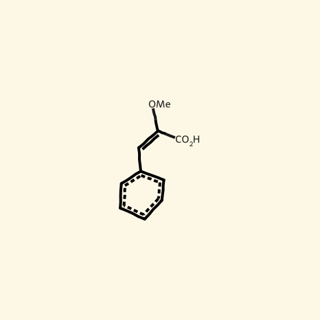 CO/C(=C/c1ccccc1)C(=O)O